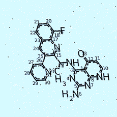 C[C@H](Nc1nc(N)nc2[nH]ccc(=O)c12)c1nc2c(F)cccc2cc1-c1ccccn1